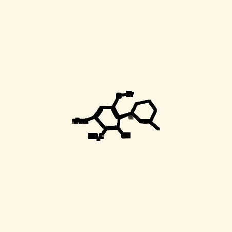 CCCCCc1cc(OC(C)C)c([C@@H]2C=C(C)CCC2)c(O)c1C(=O)O